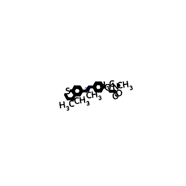 C/C(=C\c1ccc(OCC2(N(C)C)OO2)cc1)c1ccc2c(c1)C(C)(C)CCS2